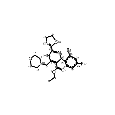 CCOC(=O)C1=C(CN2CCOCC2)NC(C2=NCCS2)=N[C@H]1c1ccc(F)cc1Br